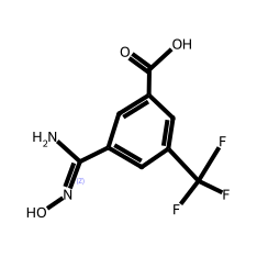 N/C(=N\O)c1cc(C(=O)O)cc(C(F)(F)F)c1